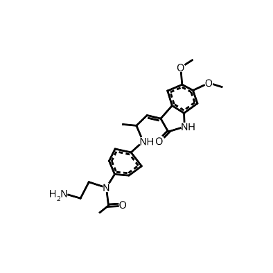 COc1cc2c(cc1OC)C(=CC(C)Nc1ccc(N(CCN)C(C)=O)cc1)C(=O)N2